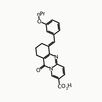 CCCOc1cccc(/C=C2\CCCc3c2nc2ccc(C(=O)O)cn2c3=O)c1